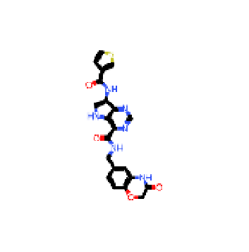 O=C1COc2ccc(CNC(=O)c3ncnc4c(NC(=O)c5ccsc5)c[nH]c34)cc2N1